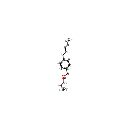 CC(C)CCCCc1ccc(COCCC(C)C)cc1